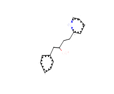 OC(CCc1ccccn1)Cc1ccccc1